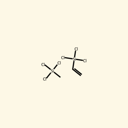 C=C[Si](Cl)(Cl)Cl.C[Si](Cl)(Cl)Cl